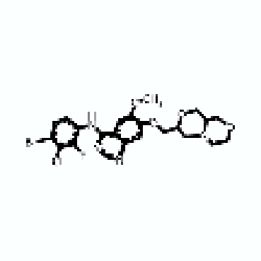 COc1cc2c(Nc3ccc(Br)c(Cl)c3F)ncnc2cc1OCC1CN2CCOCC2CO1